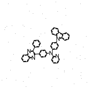 c1ccc(-c2nc3ccccc3nc2-c2ccc(N(c3ccc(-n4c5ccccc5c5ccccc54)cc3)c3ccccn3)cc2)cc1